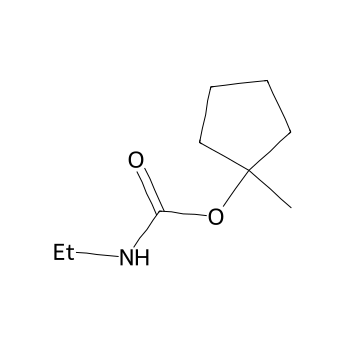 CCNC(=O)OC1(C)CCCC1